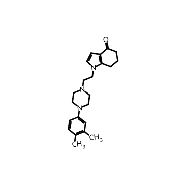 Cc1ccc(N2CCN(CCn3ccc4c3CCCC4=O)CC2)cc1C